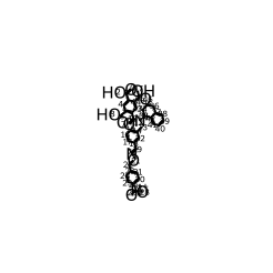 O=C(O)c1cc(C(=O)O)c(C(=O)N(Cc2cccc(C=NOCc3ccc([N+](=O)[O-])cc3)c2)[C@H]2CCCc3ccccc32)cc1C(=O)O